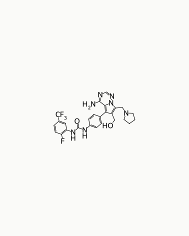 Nc1ncnn2c(CN3CCCC3)c(CO)c(-c3ccc(NC(=O)Nc4cc(C(F)(F)F)ccc4F)cc3)c12